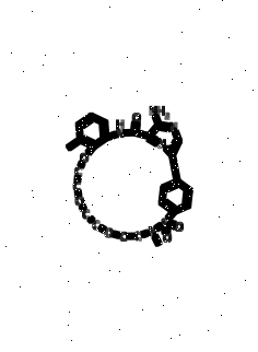 Cc1cccc2c1OCCOCCOCCN(C)S(=O)(=O)c1ccc(cc1)-c1cnc(N)c(n1)C(=O)N2